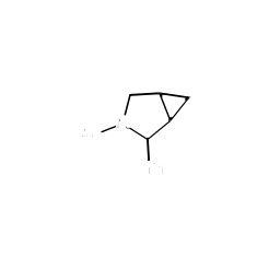 CC(=O)N1CC2CC2C1C(C)C